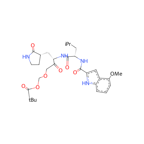 COc1cccc2[nH]c(C(=O)N[C@@H](CC(C)C)C(=O)N[C@@H](C[C@@H]3CCNC3=O)C(=O)COCOC(=O)C(C)(C)C)cc12